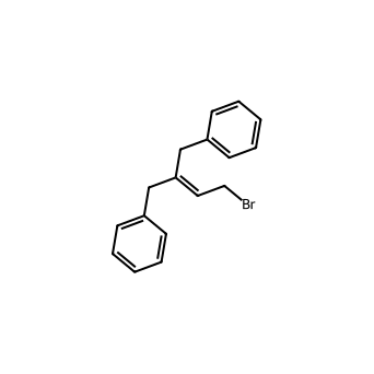 BrCC=C(Cc1ccccc1)Cc1ccccc1